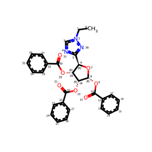 CCn1cnc([C@H]2O[C@H](OC(=O)c3ccccc3)[C@H](OC(=O)c3ccccc3)[C@@H]2OC(=O)c2ccccc2)n1